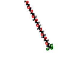 COCCOCCOCCOCCOCCOCCOCCOCCOCCOCC[Si](Cl)(Cl)Cl